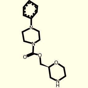 O=C(OC[C@@H]1CNCCO1)N1CCN(c2ccccc2)CC1